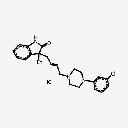 CCC1(CC=CCN2CCN(c3cccc(Cl)c3)CC2)C(=O)Nc2ccccc21.Cl